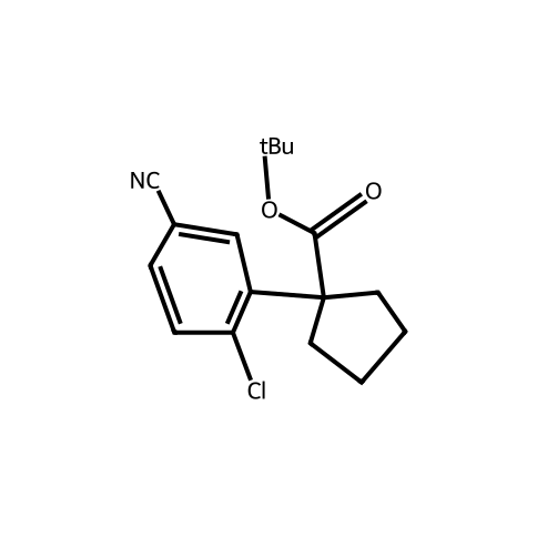 CC(C)(C)OC(=O)C1(c2cc(C#N)ccc2Cl)CCCC1